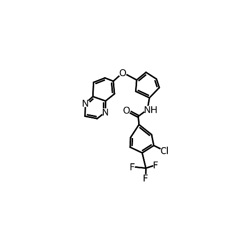 O=C(Nc1cccc(Oc2ccc3nccnc3c2)c1)c1ccc(C(F)(F)F)c(Cl)c1